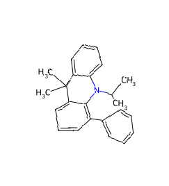 CC(C)N1c2ccccc2C(C)(C)c2cccc(-c3ccccc3)c21